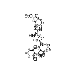 CCOC(=O)c1ccc2nc(N3NCC4C(NCc5c(C6=C(Cl)CCC=C6Cl)noc5C5CC5)CC43)sc2c1